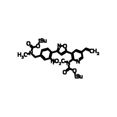 C=Cc1cnc(N(C(=O)O)C(=O)OC(C)(C)C)c(-c2cc(-c3ccc(CN(C)C(=O)OC(C)(C)C)cc3F)no2)c1